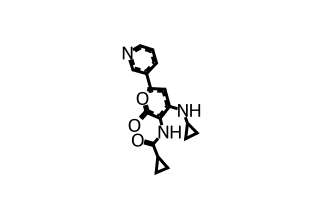 O=C(Nc1c(NC2CC2)cc(-c2cccnc2)oc1=O)C1CC1